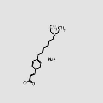 CCN(CC)CCCCCCC1=CCC(C=CC(=O)[O-])C=C1.[Na+]